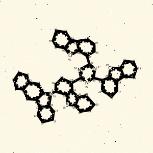 c1ccc2cc3c(cc2c1)c1ccccc1n3-c1ccc(-c2nc(-c3cccc4c3oc3ccccc34)nc(-c3cccc4c3oc3ccccc34)n2)c2c1sc1ccccc12